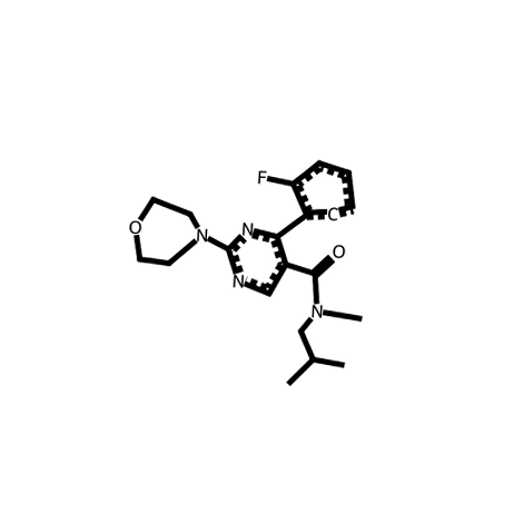 CC(C)CN(C)C(=O)c1cnc(N2CCOCC2)nc1-c1ccccc1F